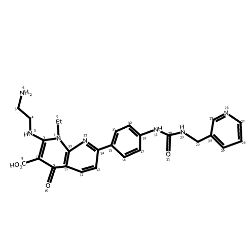 CCn1c(NCCN)c(C(=O)O)c(=O)c2ccc(-c3ccc(NC(=O)NCc4cccnc4)cc3)nc21